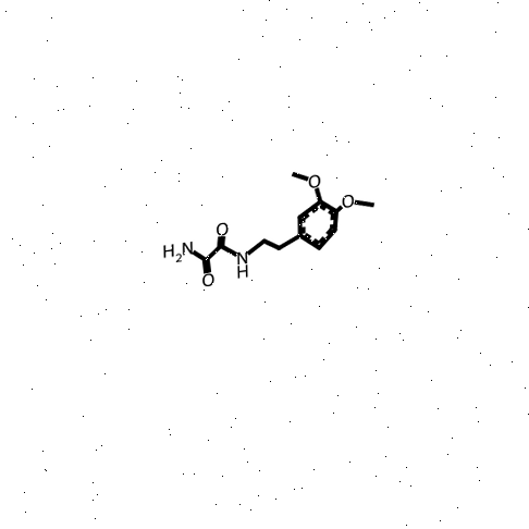 COc1ccc(CCNC(=O)C(N)=O)cc1OC